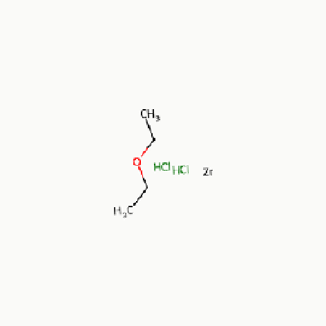 CCOCC.Cl.Cl.[Zr]